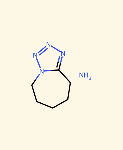 C1CCc2nnnn2CC1.N